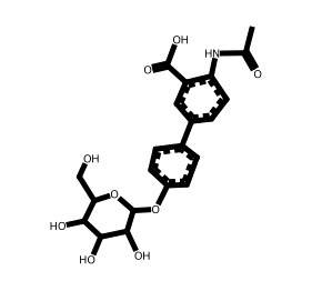 CC(=O)Nc1ccc(-c2ccc(OC3OC(CO)C(O)C(O)C3O)cc2)cc1C(=O)O